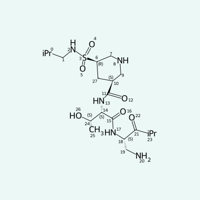 CC(C)CNS(=O)(=O)[C@H]1CNC[C@@H](C(=O)N[C@H](C(=O)N[C@@H](CN)C(=O)C(C)C)[C@H](C)O)C1